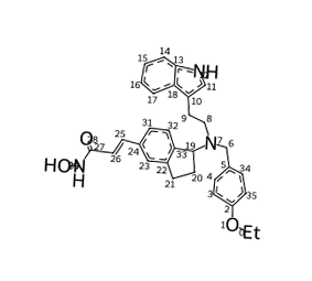 CCOc1ccc(CN(CCc2c[nH]c3ccccc23)C2CCc3cc(C=CC(=O)NO)ccc32)cc1